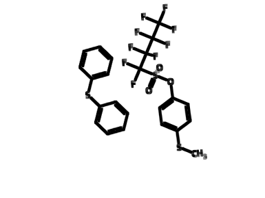 CSc1ccc(OS(=O)(=O)C(F)(F)C(F)(F)C(F)(F)C(F)(F)F)cc1.c1ccc(Sc2ccccc2)cc1